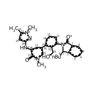 CCCCC1c2ccccc2C(=O)N1c1cccc(-c2cc(Nc3cc(C)n(C)n3)c(=O)n(C)c2)c1CO